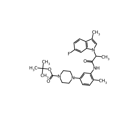 Cc1ccc(N2CCN(C(=O)OC(C)(C)C)CC2)cc1NC(=O)C(C)n1cc(C)c2ccc(F)cc21